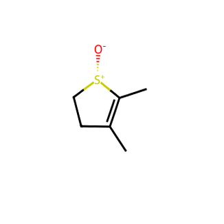 CC1=C(C)[S@@+]([O-])CC1